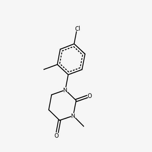 Cc1cc(Cl)ccc1N1CCC(=O)N(C)C1=O